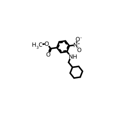 COC(=O)c1ccc([N+](=O)[O-])c(NCC2CCCCC2)c1